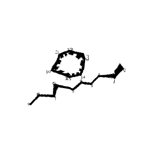 C=CCCCCCCCC.c1ccccc1